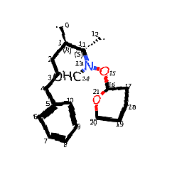 [CH2][C@H](CCCc1ccccc1)[C@H]([CH2])N(C=O)OC1CCCCO1